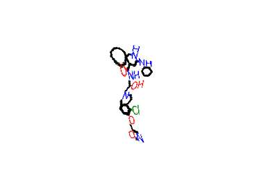 O=C(NC[C@H](O)CN1CCc2c(ccc(OCc3cnco3)c2Cl)C1)C1CC(NC2CCCCC2)NCC12CCCCCCCC2